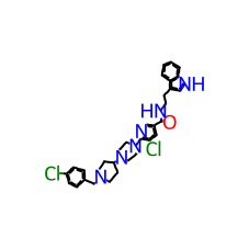 O=C(NCCc1c[nH]c2ccccc12)c1cnc(N2CCN(C3CCN(Cc4ccc(Cl)cc4)CC3)CC2)c(Cl)c1